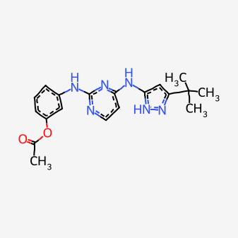 CC(=O)Oc1cccc(Nc2nccc(Nc3cc(C(C)(C)C)n[nH]3)n2)c1